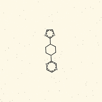 c1cnc(N2CCC(c3nccs3)CC2)cn1